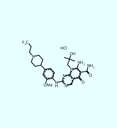 COc1cc(C2CCN(CCC(F)(F)F)CC2)ccc1Nc1ncc2c(=O)c(C(N)=O)c(N)n(CC(C)(C)O)c2n1.Cl